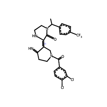 CC(c1ccc(C(F)(F)F)cc1)N1CCN/C(=C2/CN(C(=O)c3ccc(Cl)c(Cl)c3)CCC2=N)C1=O